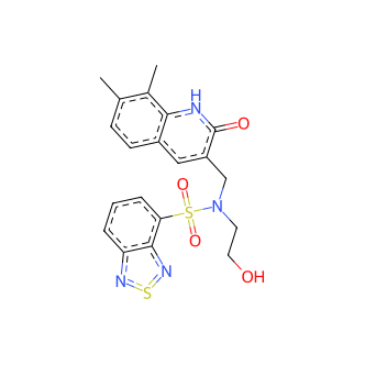 Cc1ccc2cc(CN(CCO)S(=O)(=O)c3cccc4nsnc34)c(=O)[nH]c2c1C